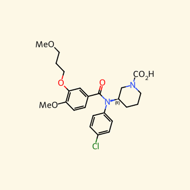 COCCCOc1cc(C(=O)N(c2ccc(Cl)cc2)[C@@H]2CCCN(C(=O)O)C2)ccc1OC